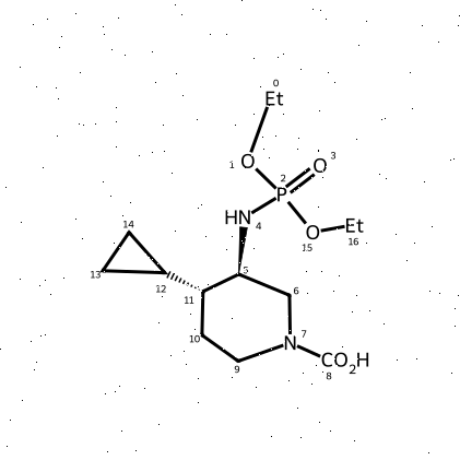 CCOP(=O)(N[C@H]1CN(C(=O)O)CC[C@@H]1C1CC1)OCC